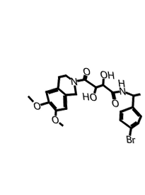 COc1cc2c(cc1OC)CN(C(=O)C(O)C(O)C(=O)NC(C)c1ccc(Br)cc1)CC2